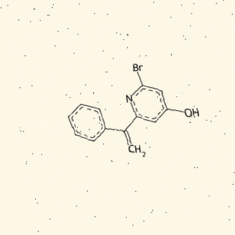 C=C(c1ccccc1)c1cc(O)cc(Br)n1